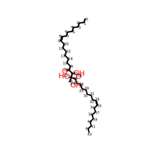 CCCCCCCC/C=C\CCCCCCCC(=O)C(O)C(O)(CO)C(=O)CCCCCCC/C=C\CCCCCCCC